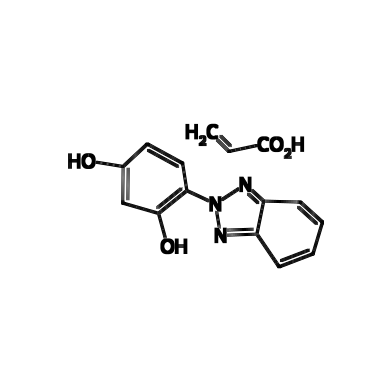 C=CC(=O)O.Oc1ccc(-n2nc3ccccc3n2)c(O)c1